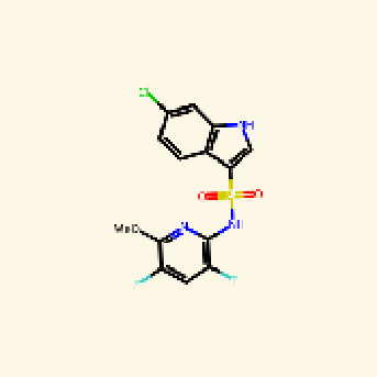 COc1nc(NS(=O)(=O)c2c[nH]c3cc(Cl)ccc23)c(F)cc1F